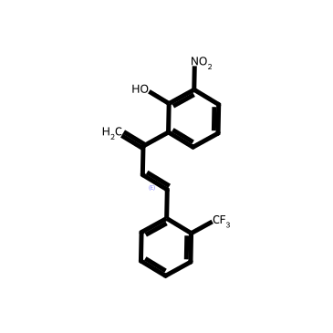 C=C(/C=C/c1ccccc1C(F)(F)F)c1cccc([N+](=O)[O-])c1O